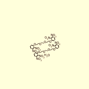 O.O=[N+]([O-])c1cccc(OCCOCCOCCOc2cccc([N+](=O)[O-])c2[N+](=O)[O-])c1[N+](=O)[O-].O=[N+]([O-])c1cccc(OCCOCCOCCOc2cccc([N+](=O)[O-])c2[N+](=O)[O-])c1[N+](=O)[O-]